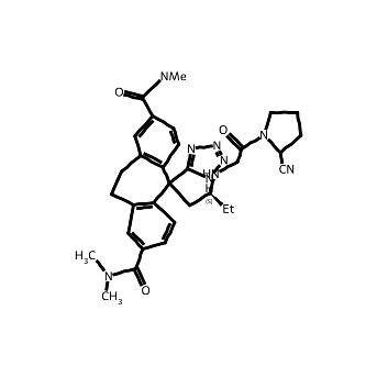 CC[C@@H](CC1(c2nnn[nH]2)c2ccc(C(=O)NC)cc2CCc2cc(C(=O)N(C)C)ccc21)NCC(=O)N1CCCC1C#N